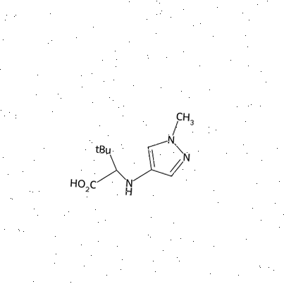 Cn1cc(NC(C(=O)O)C(C)(C)C)cn1